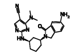 CN(C)c1nc(N[C@@H]2CCC[C@H](N3Cc4ccc(N)cc4C3=O)C2)ncc1C#N